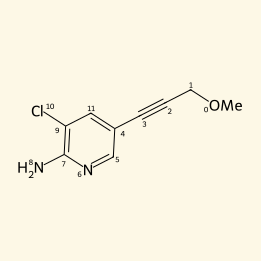 COCC#Cc1cnc(N)c(Cl)c1